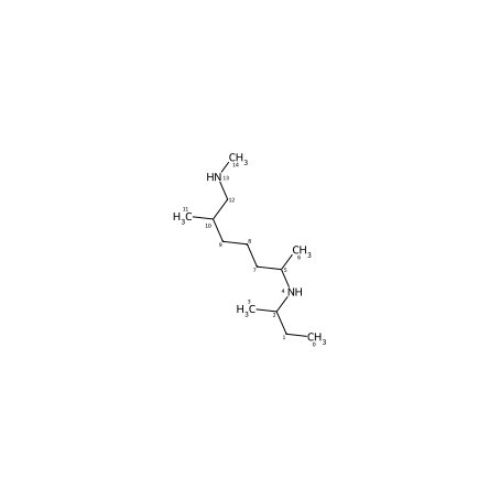 CCC(C)NC(C)CCCC(C)CNC